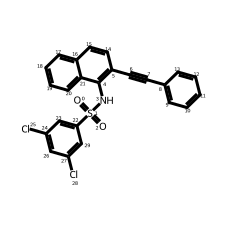 O=S(=O)(Nc1c(C#Cc2ccccc2)ccc2ccccc12)c1cc(Cl)cc(Cl)c1